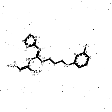 CC(=O)c1cccc(OCCCNC(=Nc2nccs2)N/C(=C\C(=O)O)C(=O)O)c1